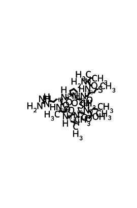 CSCC[C@H](NC(=O)[C@@H](N)C(C)C)C(=O)N[C@@H](C)C(=O)N1CCC[C@H]1C(=O)N[C@@H](CCCNC(=N)N)C(=O)N[C@@H](C)C(=O)N[C@@H](CC(C)C)C(=O)N[C@@H](CS)C(=O)N[C@@H](CC(C)C)C(=O)O